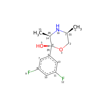 C[C@H]1CO[C@](O)(c2cc(F)cc(F)c2)[C@@H](C)N1